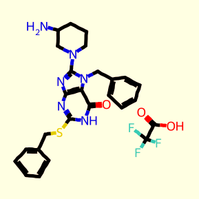 NC1CCCN(c2nc3nc(SCc4ccccc4)[nH]c(=O)c3n2Cc2ccccc2)C1.O=C(O)C(F)(F)F